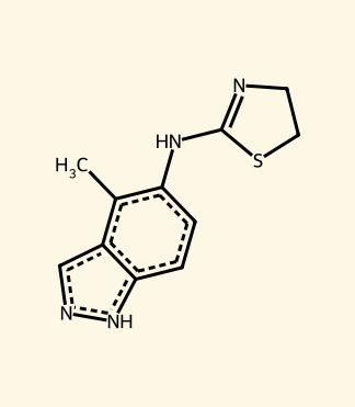 Cc1c(NC2=NCCS2)ccc2[nH]ncc12